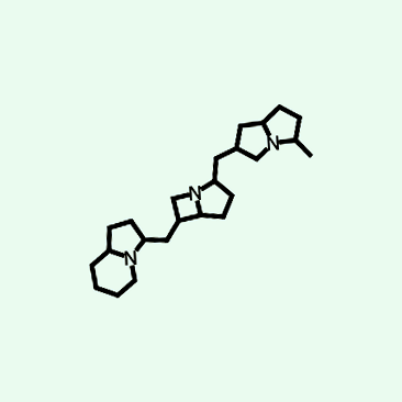 CC1CCC2CC(CC3CCC4C(CC5CCC6CCCCN65)CN34)CN12